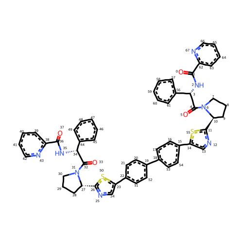 O=C(N[C@H](C(=O)N1CCC[C@H]1c1ncc(-c2ccc(-c3ccc(-c4cnc([C@@H]5CCCN5C(=O)[C@H](NC(=O)c5ccccn5)c5ccccc5)s4)cc3)cc2)s1)c1ccccc1)c1ccccn1